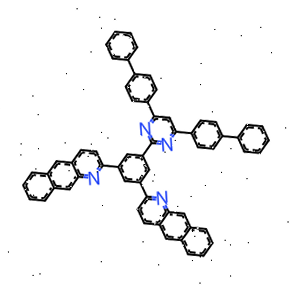 c1ccc(-c2ccc(-c3cc(-c4ccc(-c5ccccc5)cc4)nc(-c4cc(-c5ccc6cc7ccccc7cc6n5)cc(-c5ccc6cc7ccccc7cc6n5)c4)n3)cc2)cc1